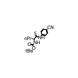 CCC[C@H](NC(=O)OC(C)(C)C)C(=S)Nc1ccc(C#N)cc1